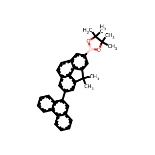 CC1(C)c2cc(B3OC(C)(C)C(C)(C)O3)cc3ccc4cc(-c5cc6ccccc6c6ccccc56)cc1c4c23